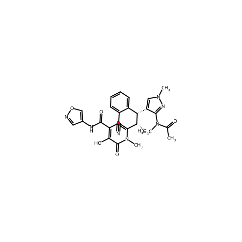 CC(=O)N(C)c1nn(C)cc1[C@@H](c1ccccc1C#N)[C@H](C)c1nc(C(=O)Nc2cnoc2)c(O)c(=O)n1C